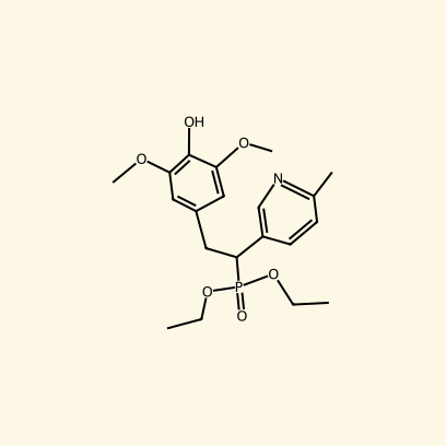 CCOP(=O)(OCC)C(Cc1cc(OC)c(O)c(OC)c1)c1ccc(C)nc1